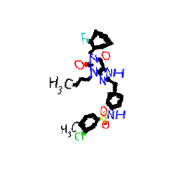 CCCCn1c(=O)n(Cc2ccccc2F)c(=O)c2[nH]c(Cc3ccc(NS(=O)(=O)c4ccc(C)c(Cl)c4)cc3)nc21